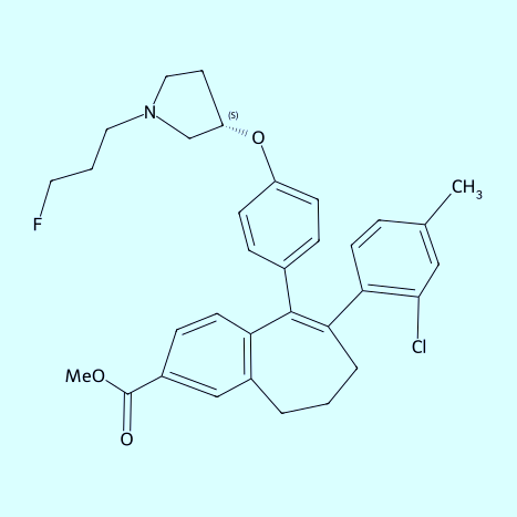 COC(=O)c1ccc2c(c1)CCCC(c1ccc(C)cc1Cl)=C2c1ccc(O[C@H]2CCN(CCCF)C2)cc1